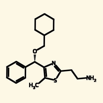 Cc1sc(CCN)nc1[C@@H](OCC1CCCCC1)c1ccccc1